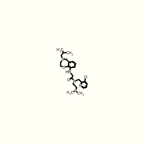 CC(C)CN1CCOc2c(cccc2NCC(=O)N(CCN(C)C)Cc2ncccc2Cl)C1